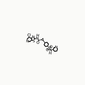 O=C(Nc1nc2c(Cl)cncc2s1)C1CC1c1ccc(S(=O)(=O)Nc2cccnc2)cc1